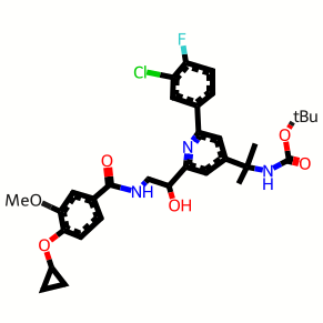 COc1cc(C(=O)NCC(O)c2cc(C(C)(C)NC(=O)OC(C)(C)C)cc(-c3ccc(F)c(Cl)c3)n2)ccc1OC1CC1